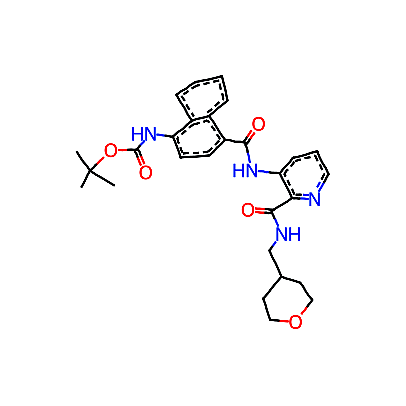 CC(C)(C)OC(=O)Nc1ccc(C(=O)Nc2cccnc2C(=O)NCC2CCOCC2)c2ccccc12